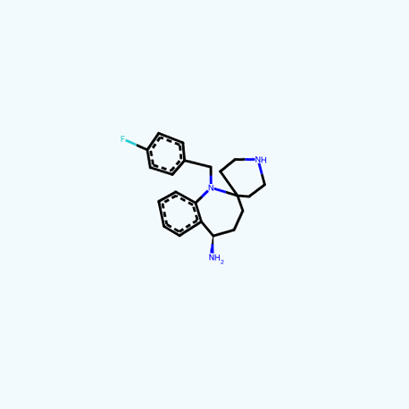 N[C@@H]1CCC2(CCNCC2)N(Cc2ccc(F)cc2)c2ccccc21